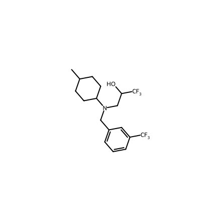 CC1CCC(N(Cc2cccc(C(F)(F)F)c2)CC(O)C(F)(F)F)CC1